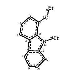 CCOc1cccc2c3ccccc3n(CC)c12